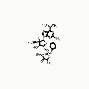 C#C[C@@]1(F)[C@H](O)[C@@H](COP(=S)(N[C@@H](C)C(=O)OC(C)C)Oc2ccccc2)O[C@H]1n1cnc2c(N(C)C)nc(N)nc21